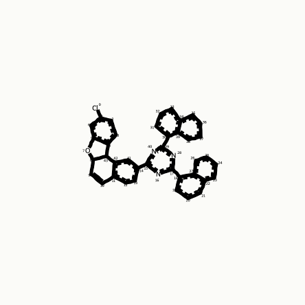 Clc1ccc2c(c1)OC1C=Cc3ccc(-c4nc(-c5cccc6ccccc56)nc(-c5cccc6ccccc56)n4)cc3C21